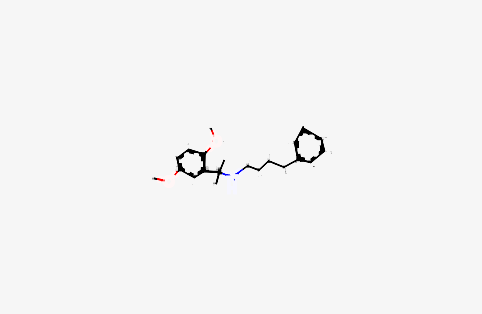 COc1ccc(OC)c(C(C)(C)NCCCCc2ccccc2)c1